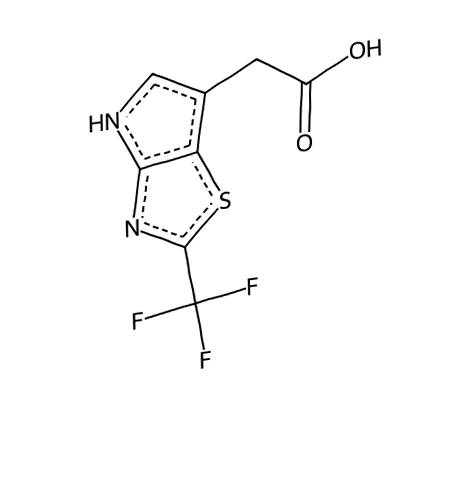 O=C(O)Cc1c[nH]c2nc(C(F)(F)F)sc12